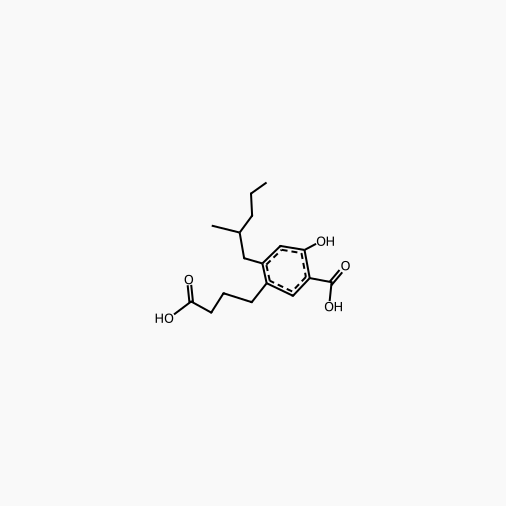 CCCC(C)Cc1cc(O)c(C(=O)O)cc1CCCC(=O)O